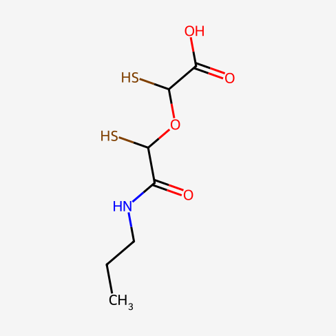 CCCNC(=O)C(S)OC(S)C(=O)O